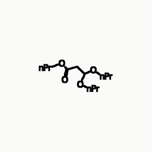 CCCOC(=O)CC(OCCC)OCCC